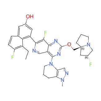 CCc1c(F)ccc2cc(O)cc(-c3ncc4c(N5CCCc6c5cnn6C)nc(OC[C@@]56CCCN5C[C@H](F)C6)nc4c3F)c12